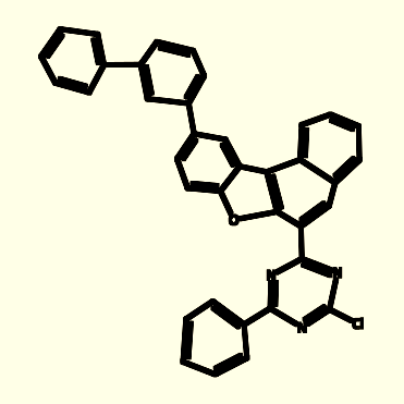 Clc1nc(-c2ccccc2)nc(-c2cc3ccccc3c3c2oc2ccc(-c4cccc(-c5ccccc5)c4)cc23)n1